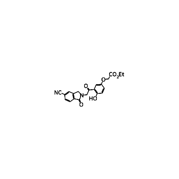 CCOC(=O)COc1ccc(O)c(C(=O)CN2Cc3cc(C#N)ccc3C2=O)c1